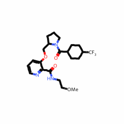 COCCNC(=O)c1ncccc1OCC1CCCN1C(=O)C1CCC(C(F)(F)F)CC1